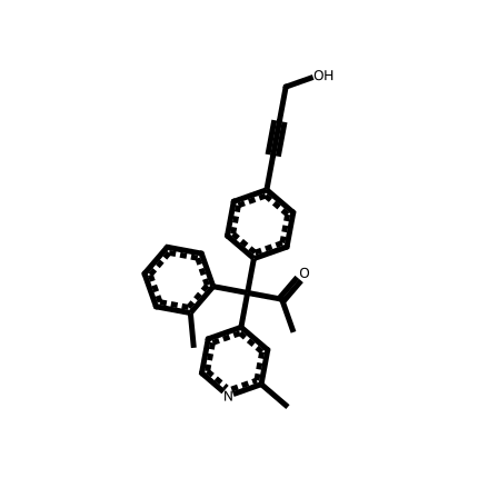 CC(=O)C(c1ccc(C#CCO)cc1)(c1ccnc(C)c1)c1ccccc1C